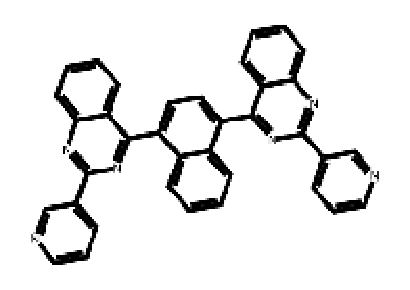 c1cncc(-c2nc(-c3ccc(-c4nc(-c5cccnc5)nc5ccccc45)c4ccccc34)c3ccccc3n2)c1